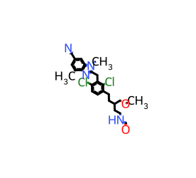 COCC(CCNC=O)CCc1ccc(Cl)c(Cc2nc3c(C)cc(C#N)cc3n2C)c1Cl